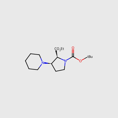 CCOC(=O)[C@@H]1[C@H](N2CCCCC2)CCN1C(=O)OC(C)(C)C